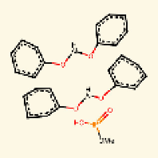 CO[PH](=O)O.c1ccc([O][AlH][O]c2ccccc2)cc1.c1ccc([O][AlH][O]c2ccccc2)cc1